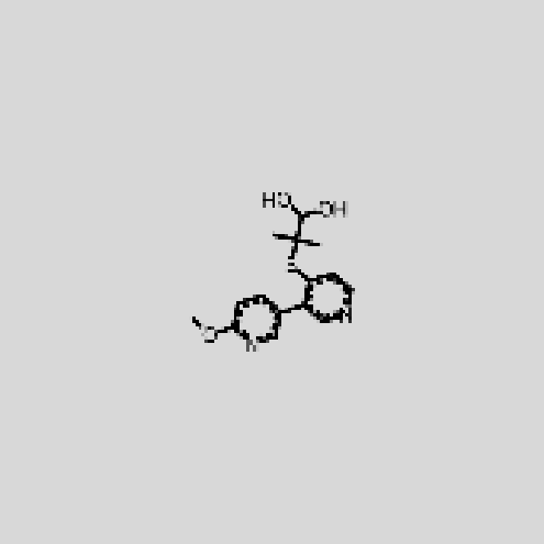 COc1ccc(-c2cnccc2SC(C)(C)C(O)O)cn1